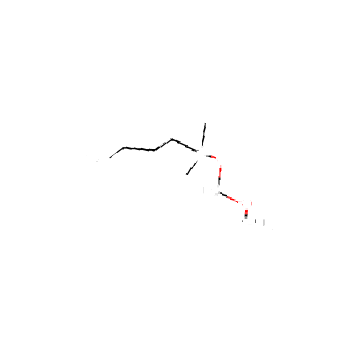 CCCCCCCC[Si](C)(C)O[SiH2]O[SiH3]